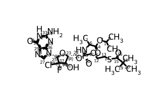 CC(C)OC(=O)C(C)NP(=O)(OCCSC(=O)C(C)(C)C)OC[C@H]1O[C@@H](n2cnc3c(=O)[nH]c(N)nc32)[C@](F)(Cl)[C@@H]1O